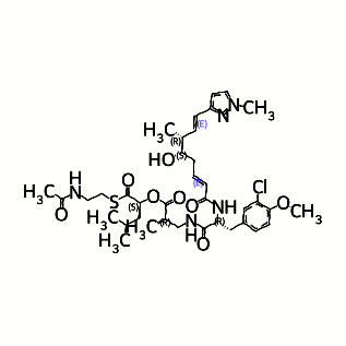 COc1ccc(C[C@@H](NC(=O)/C=C/C[C@H](O)[C@H](C)/C=C/c2ccn(C)n2)C(=O)NC[C@@H](C)C(=O)O[C@@H](CC(C)C)C(=O)SCCNC(C)=O)cc1Cl